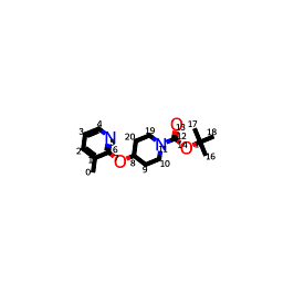 Cc1cccnc1OC1CCN(C(=O)OC(C)(C)C)CC1